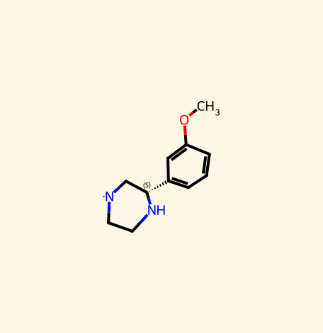 COc1cccc([C@H]2C[N]CCN2)c1